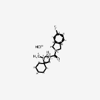 CN(C)C1(CNC(=O)N2Cc3ccc(F)cc3C2)CCCCC1.Cl